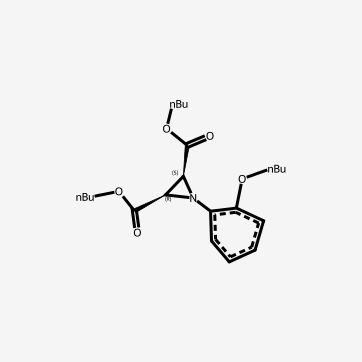 CCCCOC(=O)[C@@H]1[C@H](C(=O)OCCCC)N1c1ccccc1OCCCC